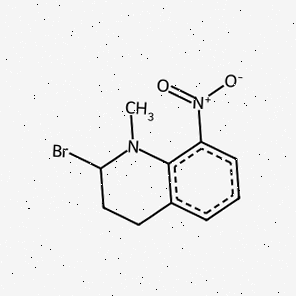 CN1c2c(cccc2[N+](=O)[O-])CCC1Br